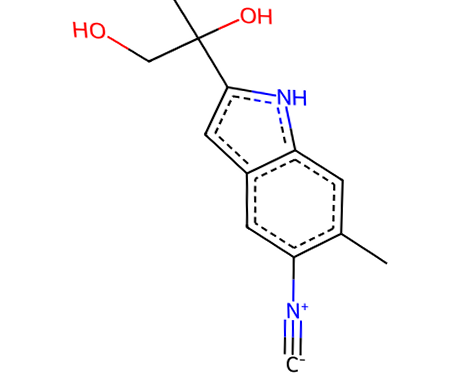 [C-]#[N+]c1cc2cc(C(C)(O)CO)[nH]c2cc1C